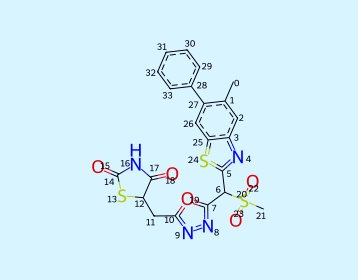 Cc1cc2nc(C(c3nnc(CC4SC(=O)NC4=O)o3)S(C)(=O)=O)sc2cc1-c1ccccc1